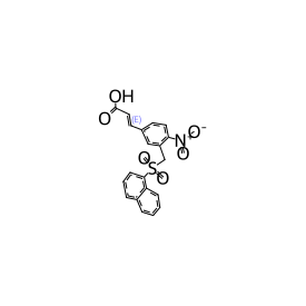 O=C(O)/C=C/c1ccc([N+](=O)[O-])c(CS(=O)(=O)c2cccc3ccccc23)c1